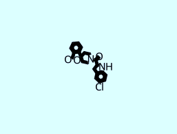 O=C1OC2(CCN(C(=O)C3Cc4cc(Cl)ccc4N3)CC2)c2ccccc21